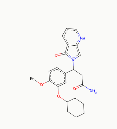 CCOc1ccc(C(CC(N)=O)n2cc3[nH]cccc-3c2=O)cc1OC1CCCCC1